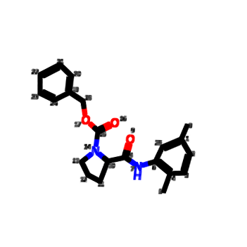 Cc1ccc(C)c(NC(=O)C2CCCN2C(=O)OCc2ccccc2)c1